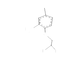 [CH2]c1cc(F)ccc1OCC(F)F